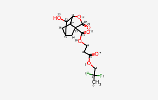 CC(F)(F)COC(=O)CCOC(=O)C12CC3CC1C(OC2=O)C3O